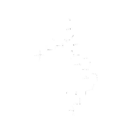 C[C@H](CCC(C(=O)OC(C)(C)C)C(=O)OC(C)(C)C)C1CCC2C3CCC4C[C@H](OC(=O)[C@H](CC(=O)OC(C)(C)C)NC(=O)[C@@H](N)CC(=O)OC(C)(C)C)CC[C@]4(C)C3CC[C@@]21C